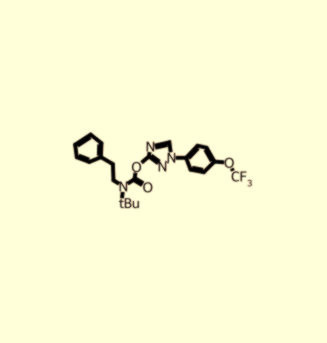 CC(C)(C)N(CCc1ccccc1)C(=O)Oc1ncn(-c2ccc(OC(F)(F)F)cc2)n1